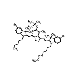 CCCCCN1/C(=C/C=C2\CCC(/C=C/C3=[N+](CCCCSOOO)c4ccc(Br)cc4C3(C)C)=C2N(C)C(=O)OC(C)(C)C)C(C)(C)c2cc(Br)ccc21